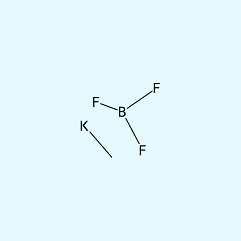 FB(F)F.[CH3][K]